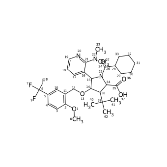 COc1ccc(C(F)(F)F)cc1COC1C(c2cccnc2N(C)C)N(C(=O)C2CCCCC2)C(C(=O)O)C1C(C)(C)C